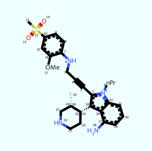 CCCn1c(C#CCNc2ccc(S(C)(=O)=O)cc2OC)c([C@@H]2CCNC[C@@H]2F)c2c(N)cccc21